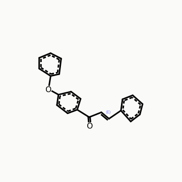 O=C(/C=C/c1ccccc1)c1ccc(Oc2ccccc2)cc1